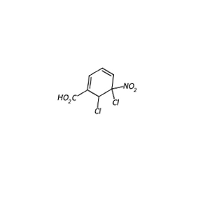 O=C(O)C1=CC=CC(Cl)([N+](=O)[O-])C1Cl